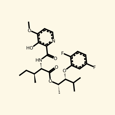 CC[C@H](C)[C@H](NC(=O)c1nccc(OC)c1O)C(=O)O[C@@H](C)[C@H](Oc1cc(F)ccc1F)C(C)C